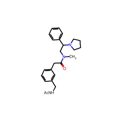 CC(=O)NCc1cccc(CC(=O)N(C)CC(c2ccccc2)N2CCCC2)c1